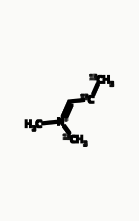 C/[N+]([13CH3])=C/[13CH2][13CH3]